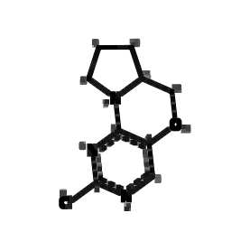 Clc1ncc2c(n1)N1CCCC1CO2